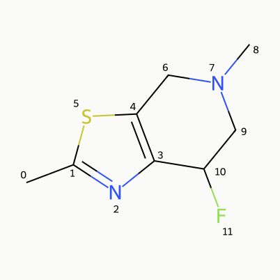 Cc1nc2c(s1)CN(C)CC2F